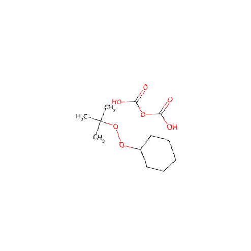 CC(C)(C)OOC1CCCCC1.O=C(O)OC(=O)O